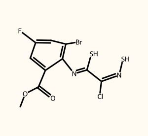 COC(=O)c1cc(F)cc(Br)c1/N=C(S)/C(Cl)=N\S